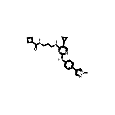 Cn1cc(-c2ccc(Nc3ncc(C4CC4)c(NCCCNC(=O)C4CCC4)n3)cc2)cn1